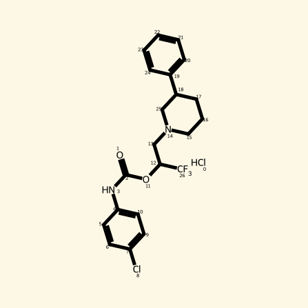 Cl.O=C(Nc1ccc(Cl)cc1)OC(CN1CCCC(c2ccccc2)C1)C(F)(F)F